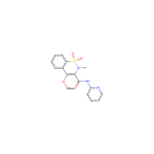 CCCCCCCCCOC1=C(C(=O)Nc2ccccn2)N(C)S(=O)(=O)c2ccccc21